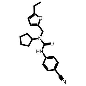 CCc1ccc(CN(C(=O)Nc2ccc(C#N)cc2)C2CCCC2)o1